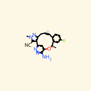 C[C@H]1Oc2cc(nnc2N)-c2c(nn(C)c2C#N)C/C=C\c2ccc(F)cc21